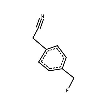 N#CCc1ccc(CF)cc1